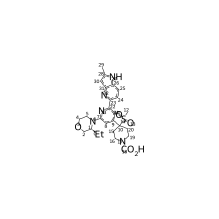 CC[C@H]1COCCN1c1cc(C2(S(C)(=O)=O)CCN(C(=O)O)CC2)cc(-c2ccc3[nH]c(C)cc3n2)n1